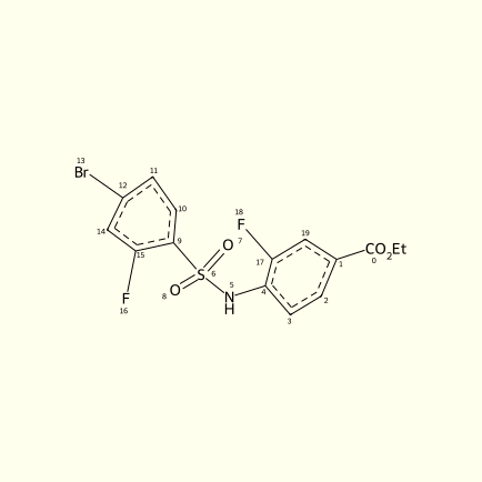 CCOC(=O)c1ccc(NS(=O)(=O)c2ccc(Br)cc2F)c(F)c1